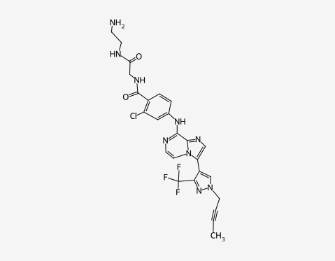 CC#CCn1cc(-c2cnc3c(Nc4ccc(C(=O)NCC(=O)NCCN)c(Cl)c4)nccn23)c(C(F)(F)F)n1